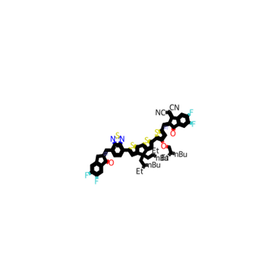 CCCCC(CC)COc1cc(/C=C2\C(=O)c3cc(F)c(F)cc3C2=C(C#N)C#N)sc1-c1cc2c(s1)-c1sc(-c3ccc(/C=C4/Cc5cc(F)c(F)cc5C4=O)c4nsnc34)cc1C2(CC(CC)CCCC)CC(CC)CCCC